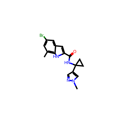 Cc1cc(Br)cc2cc(C(=O)NC3(c4cnn(C)c4)CC3)[nH]c12